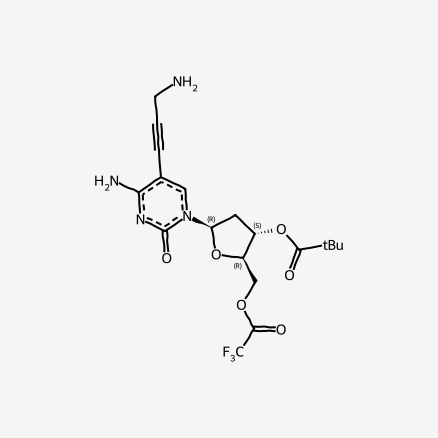 CC(C)(C)C(=O)O[C@H]1C[C@H](n2cc(C#CCN)c(N)nc2=O)O[C@@H]1COC(=O)C(F)(F)F